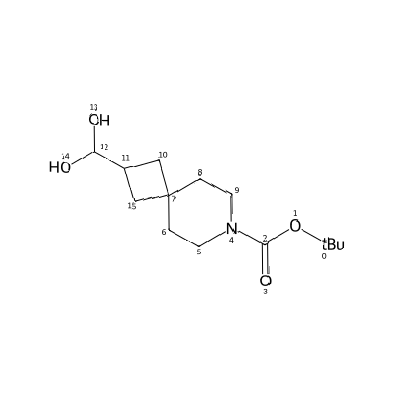 CC(C)(C)OC(=O)N1CCC2(CC1)CC(C(O)O)C2